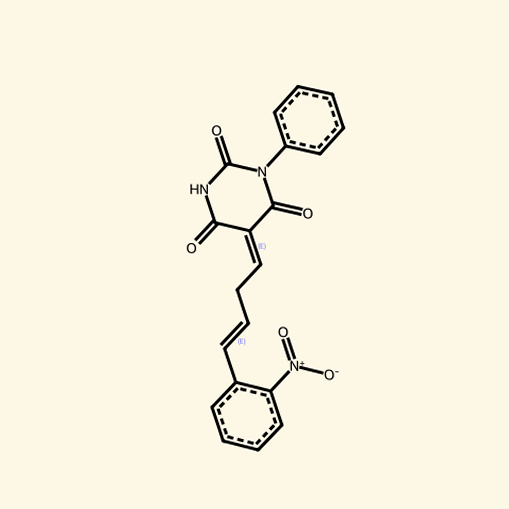 O=C1NC(=O)N(c2ccccc2)C(=O)/C1=C/C/C=C/c1ccccc1[N+](=O)[O-]